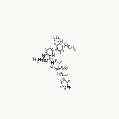 COc1ccc(-c2ccc3nc(N)nc(N4CCN(C(=S)NCc5cccc(F)c5)CC4)c3n2)cc1OC